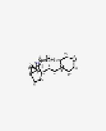 CC1(C)C2CCC1(CCN1CCOCC1)/C(=N\O)C2